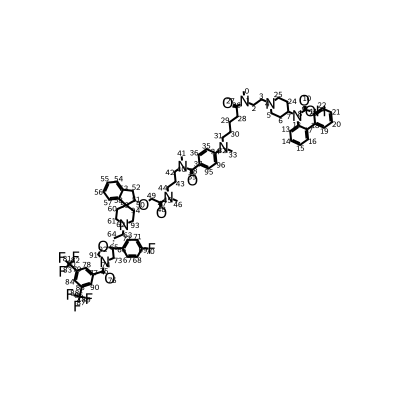 CN(CCN1CCC(N(C(=O)O)c2ccccc2-c2ccccc2)CC1)C(=O)CCCCN(C)c1ccc(C(=O)N(C)CCCN(C)C(=O)CO[C@H]2Cc3ccccc3C23CCN(CC[C@]2(c4ccc(F)cc4)CN(C(=O)c4cc(C(F)(F)F)cc(C(F)(F)F)c4)CO2)CC3)cc1